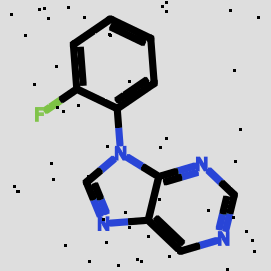 Fc1ccccc1-n1cnc2cncnc21